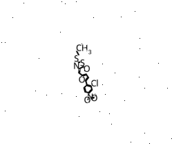 CCCSC1=NC(=Cc2ccc(-c3ccc([N+](=O)[O-])cc3Cl)o2)C(=O)S1